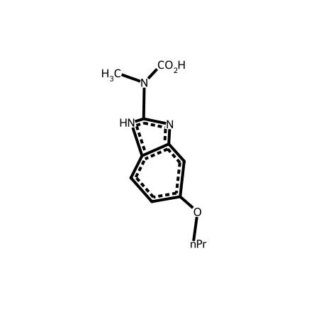 CCCOc1ccc2[nH]c(N(C)C(=O)O)nc2c1